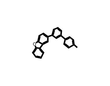 Cc1ccc(-c2cccc(-c3ccc4oc5ccccc5c4c3)c2)cc1